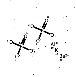 O=P([O-])([O-])[O-].O=P([O-])([O-])[O-].[Al+3].[Ba+2].[K+]